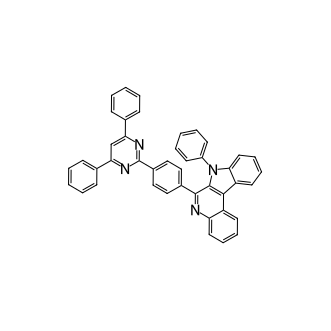 c1ccc(-c2cc(-c3ccccc3)nc(-c3ccc(-c4nc5ccccc5c5c6ccccc6n(-c6ccccc6)c45)cc3)n2)cc1